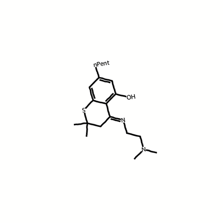 CCCCCc1cc(O)c2c(c1)SC(C)(C)CC2=NCCN(C)C